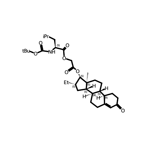 CC[C@H]1C[C@H]2[C@@H]3CCC4=CC(=O)CC[C@@H]4[C@H]3CC[C@]2(C)[C@H]1OC(=O)COC(=O)[C@H](CC(C)C)NC(=O)OC(C)(C)C